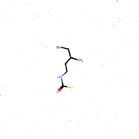 CC(CCNC(=O)[S])CC(C)(C)C